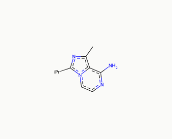 Cc1nc(C(C)C)n2ccnc(N)c12